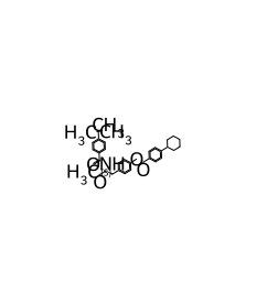 CC(=O)[C@H](Cc1ccc(OC(=O)c2ccc(C3CCCCC3)cc2)cc1)NC(=O)c1ccc(C(C)(C)C)cc1